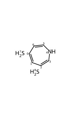 C1=CC=CNC=C1.S.S